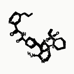 C=CS(=O)(=O)N1CCCC[C@H]1c1nc(-c2ccc(C(=O)NC(=O)c3cc(CCC)ccn3)cc2)c2c(N)nccn12